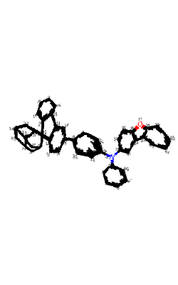 c1ccc(N(c2ccc(-c3ccc4c(c3)-c3ccccc3C43C4CC5CC(C4)CC3C5)cc2)c2ccc3oc4ccccc4c3c2)cc1